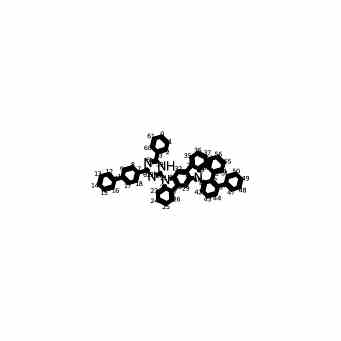 c1ccc(C2=NC(c3ccc(-c4ccccc4)cc3)=NC(n3c4ccccc4c4cc5c(cc43)c3ccccc3n5-c3cccc(-c4ccccc4)c3-c3ccccc3)N2)cc1